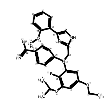 CCOc1cc(OC(C)C)c(F)c(N(Cc2nc(-c3ccccc3OC)c[nH]2)c2ccc(C(=N)N)cc2)c1